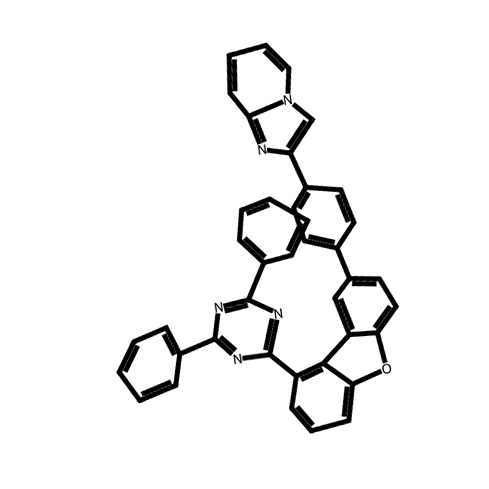 c1ccc(-c2nc(-c3ccccc3)nc(-c3cccc4oc5ccc(-c6ccc(-c7cn8ccccc8n7)cc6)cc5c34)n2)cc1